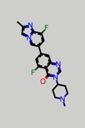 Cc1cn2cc(-c3cc(F)c4c(=O)n(C5CCN(C)CC5)cnc4c3)cc(F)c2n1